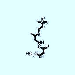 CC(CNOC(=O)/C=C\C(=O)O)SCC[Si](C)(C)C